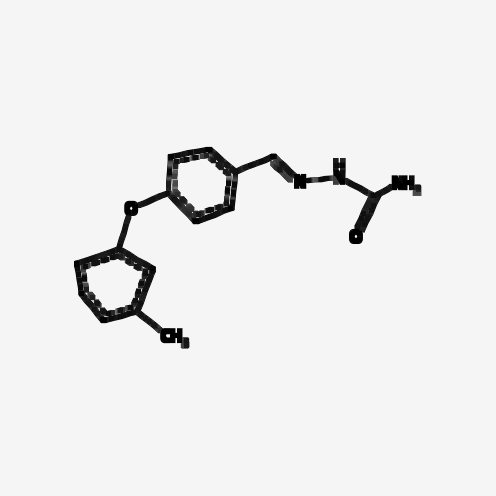 Cc1cccc(Oc2ccc(C=NNC(N)=O)cc2)c1